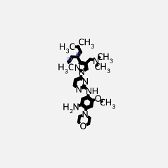 C/C=C\C(=C/C(C)C)c1nn(-c2ccnc(Nc3cc(N)c(N4CCOCC4)cc3OC)n2)cc1CN(C)C